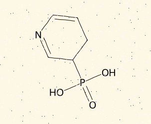 O=P(O)(O)C1C=NC=CC1